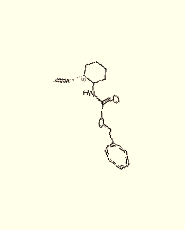 C=C[C@@H]1CCCCC1NC(=O)OCc1ccccc1